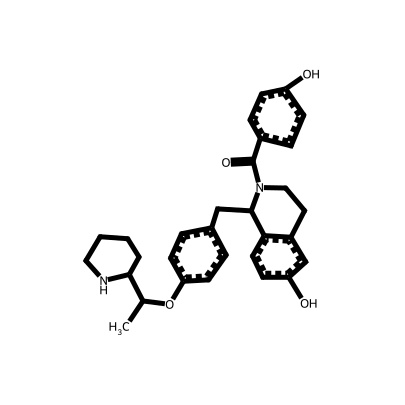 CC(Oc1ccc(CC2c3ccc(O)cc3CCN2C(=O)c2ccc(O)cc2)cc1)C1CCCCN1